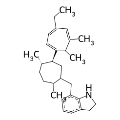 CCC1=CC=C([C@H]2CC(Cc3cccc4c3NCC4)C(C)CC[C@@H]2C)C(C)C(C)=C1